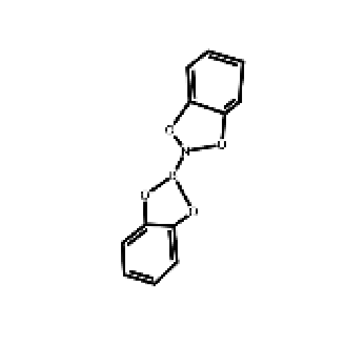 c1ccc2c(c1)OB(N1Oc3ccccc3O1)O2